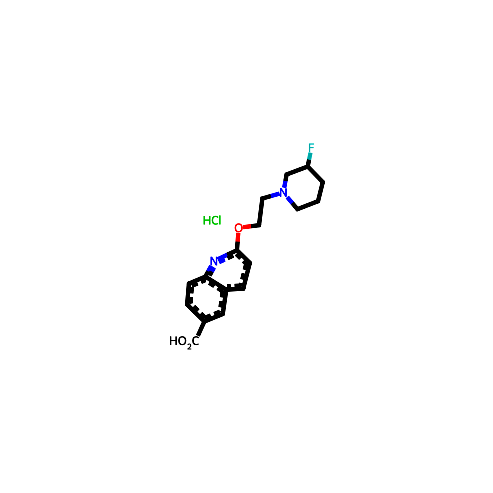 Cl.O=C(O)c1ccc2nc(OCCN3CCCC(F)C3)ccc2c1